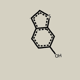 Oc1ccc2[c]csc2c1